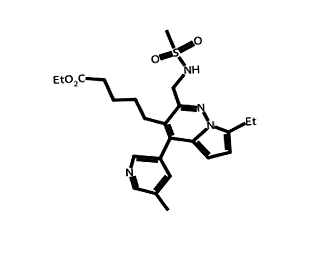 CCOC(=O)CCCCc1c(CNS(C)(=O)=O)nn2c(CC)ccc2c1-c1cncc(C)c1